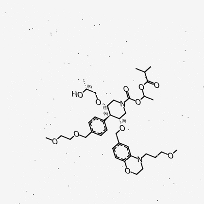 COCCCN1CCOc2ccc(CO[C@H]3CN(C(=O)OC(C)OC(=O)C(C)C)C[C@@H](OC[C@@H](C)O)[C@@H]3c3ccc(COCCOC)cc3)cc21